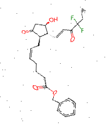 CC(C)CC(F)(F)C(=O)/C=C/[C@H]1[C@H](O)CC(=O)[C@@H]1C/C=C\CCCC(=O)OCc1ccccc1